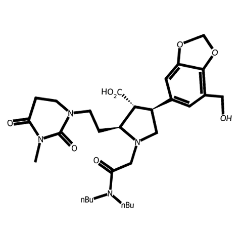 CCCCN(CCCC)C(=O)CN1C[C@H](c2cc(CO)c3c(c2)OCO3)[C@@H](C(=O)O)[C@@H]1CCN1CCC(=O)N(C)C1=O